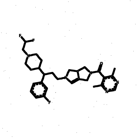 Cc1ncnc(C)c1C(=O)N1CC2=CN(CCC(c3cccc(F)c3)C3CCN(CC(F)F)CC3)CC2C1